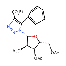 CCOC(=O)c1nnn([C@@H]2O[C@H](COC(C)=O)[C@@H](OC(C)=O)[C@H]2OC(C)=O)c1-c1ccccc1